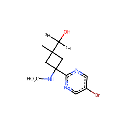 [2H]C([2H])(O)C1(C)CC(NC(=O)O)(c2ncc(Br)cn2)C1